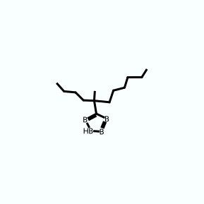 CCCCCCC(C)(CCCC)C1=BBB=B1